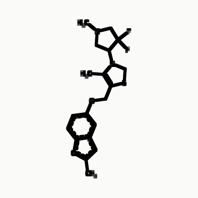 CC1=C(COc2ccc3oc(C)cc3c2)SCN1C1CN(C)CC1(F)F